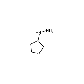 NNC1CCSC1